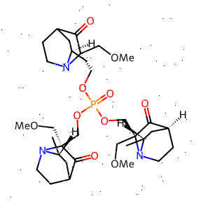 COC[C@]1(COP(=O)(OC[C@@]2(COC)C(=O)C3CCN2[C@H](C)C3)OC[C@@]2(COC)C(=O)[C@H]3CCN2[C@H](C)C3)C(=O)C2CCN1[C@H](C)C2